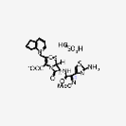 CO/N=C(\C(=O)N[C@@H]1C(=O)N2C(C(=O)[O-])=C(C[n+]3cccc4c3CCC4)CS[C@H]12)c1csc(N)n1.O=S(=O)(O)O